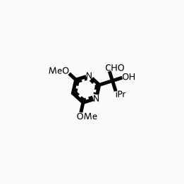 COc1cc(OC)nc(C(O)(C=O)C(C)C)n1